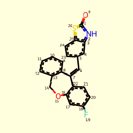 O=c1[nH]c2cc(/C=C3\c4ccccc4COc4cc(F)ccc43)ccc2s1